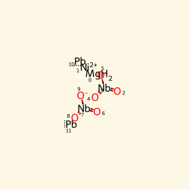 [MgH2].[Ni+2].[O]=[Nb](=[O])[O-].[O]=[Nb](=[O])[O-].[Pb].[Pb]